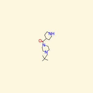 CC(C)(C)CN1CCN(C(=O)C2CCNCC2)CC1